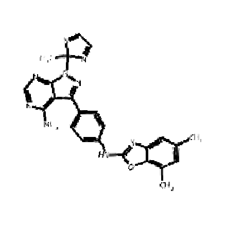 Cc1cc(C)c2oc(Nc3ccc(-c4nn(C5(C)N=CC=N5)c5ncnc(N)c45)cc3)nc2c1